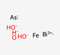 [As].[Bi+3].[Fe].[OH-].[OH-].[OH-]